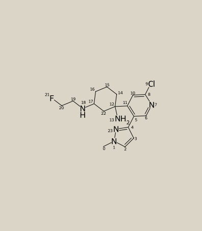 Cn1ccc(-c2cnc(Cl)cc2C2(N)CCCC(NCCF)C2)n1